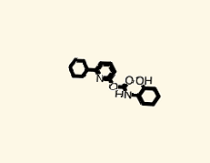 O=C(NC1CCCCC1O)Oc1cccc(C2CCCCC2)n1